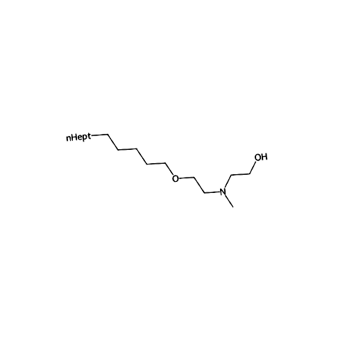 CCCCCCCCCCCCOCCN(C)CCO